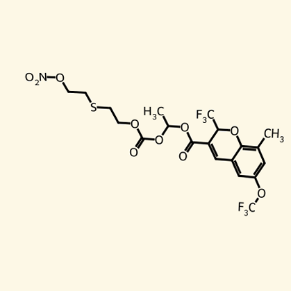 Cc1cc(OC(F)(F)F)cc2c1OC(C(F)(F)F)C(C(=O)OC(C)OC(=O)OCCSCCO[N+](=O)[O-])=C2